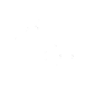 CN(CCC1CCN(C#N)C1)C(=O)OC(C)(C)C